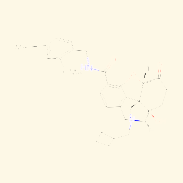 COc1ccc(CNC(=O)c2ccc3c4c2O[C@@H]2C(=O)CC[C@]5(O)[C@H](C3)N(CC3CCC3)CC[C@@]425)c(OC)c1